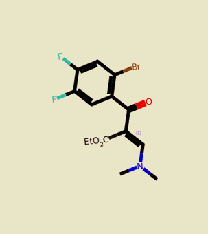 CCOC(=O)/C(=C\N(C)C)C(=O)c1cc(F)c(F)cc1Br